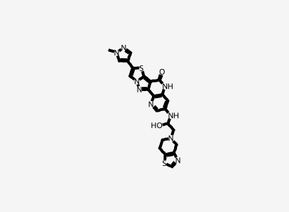 Cn1cc(-c2cn3nc4c5ncc(NC(O)CN6CCc7scnc7C6)cc5[nH]c(=O)c4c3s2)cn1